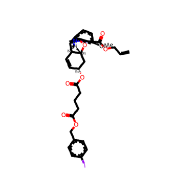 C=CCOC(=O)N1CC[C@@]23C=C[C@@H](OC(=O)CCCC(=O)OCc4ccc(I)cc4)C[C@H]2Oc2c(OC)ccc(c23)C1